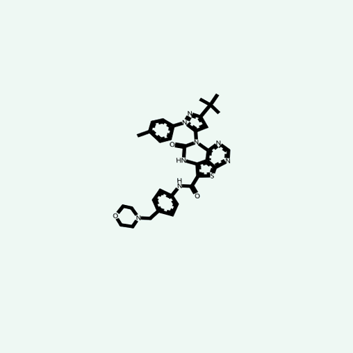 Cc1ccc(-n2nc(C(C)(C)C)cc2N2C(=O)Nc3c(C(=O)Nc4ccc(CN5CCOCC5)cc4)sc4ncnc2c34)cc1